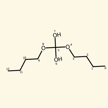 CCCCOC(O)(O)OCCCC